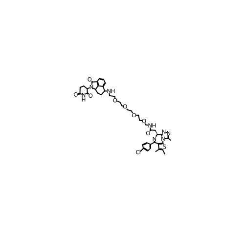 Cc1sc2c(c1C)C(c1ccc(Cl)cc1)=N[C@@H](CC(=O)NCOCCOCCOCCOCCNC1CCC3c4c(cccc41)C(=O)N3C1CCC(=O)NC1=O)c1nnc(C)n1-2